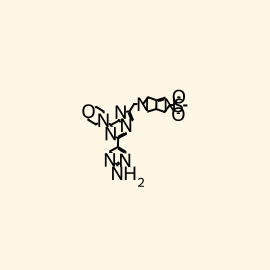 CS(=O)(=O)N1C=C2CN(Cc3cn4cc(-c5cnc(N)nc5)nc(N5CCOCC5)c4n3)CC2C1